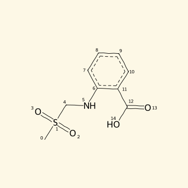 CS(=O)(=O)CNc1ccccc1C(=O)O